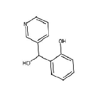 Oc1ccccc1C(O)c1cccnc1